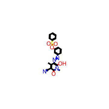 Cc1c(/N=N/c2cccc(OS(=O)(=O)c3ccccc3)c2)c(O)n(C)c(=O)c1C#N